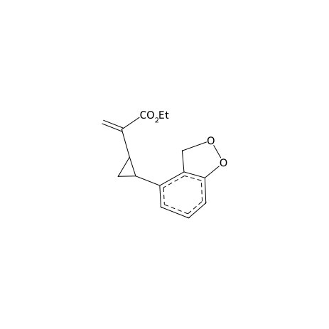 C=C(C(=O)OCC)C1CC1c1cccc2c1COO2